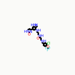 O=C(CCNCc1ccc(OC(F)(F)F)c(Cl)c1)NCCCNc1cc(-c2cc[nH]c(=O)n2)cc2[nH]ncc12